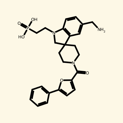 NCc1ccc2c(c1)C1(CCN(C(=O)c3ccc(-c4ccccc4)o3)CC1)CN2CCP(=O)(O)O